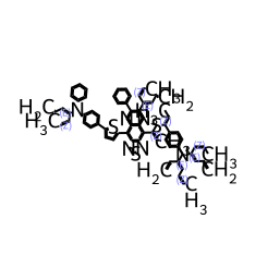 C=C/C=C(\C=C/C)c1nc2c(/C(=C/C)S/C(=C\C)c3ccc(N(/C(C=C)=C/C=C\C)C(/C=C\C)=C/C=C)cc3)c3nsnc3c(-c3ccc(-c4ccc(N(C(/C=C\C)=C/C=C)c5ccccc5)cc4)s3)c2nc1-c1ccccc1